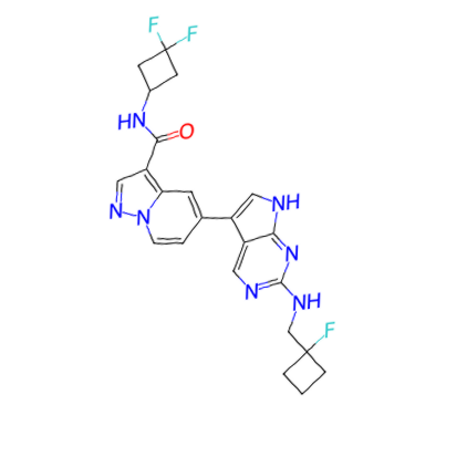 O=C(NC1CC(F)(F)C1)c1cnn2ccc(-c3c[nH]c4nc(NCC5(F)CCC5)ncc34)cc12